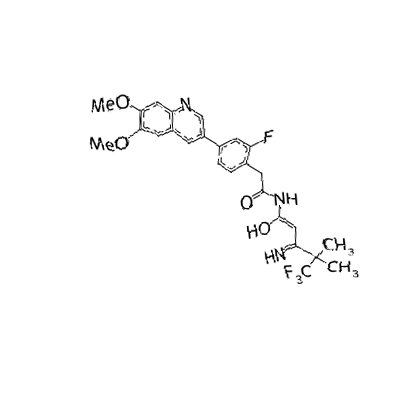 COc1cc2cc(-c3ccc(CC(=O)N/C(O)=C/C(=N)C(C)(C)C(F)(F)F)c(F)c3)cnc2cc1OC